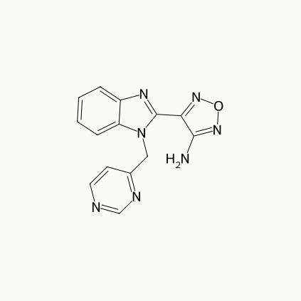 Nc1nonc1-c1nc2ccccc2n1Cc1ccncn1